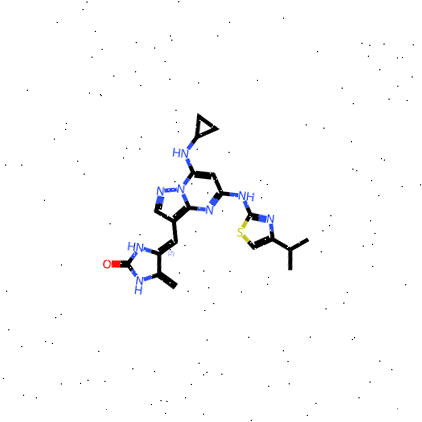 C=c1[nH]c(=O)[nH]/c1=C\c1cnn2c(NC3CC3)cc(Nc3nc(C(C)C)cs3)nc12